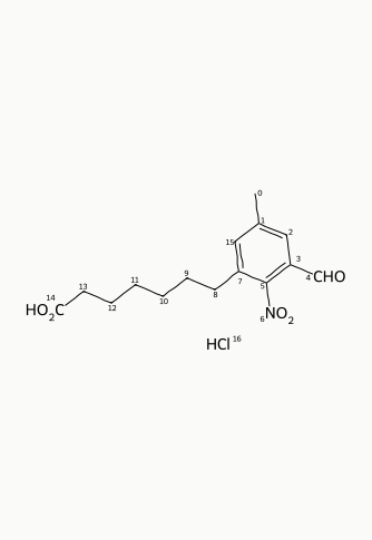 Cc1cc(C=O)c([N+](=O)[O-])c(CCCCCCC(=O)O)c1.Cl